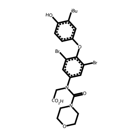 CCC(C)c1cc(Oc2c(Br)cc(N(CC(=O)O)C(=O)N3CCOCC3)cc2Br)ccc1O